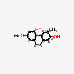 COc1cc(O)c2c(c1)CCc1cc(O)c(C)cc1-2